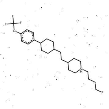 FCCCC[SiH]1CCC(CCC2CCC(c3ccc(OC(F)(F)F)cc3)CC2)CC1